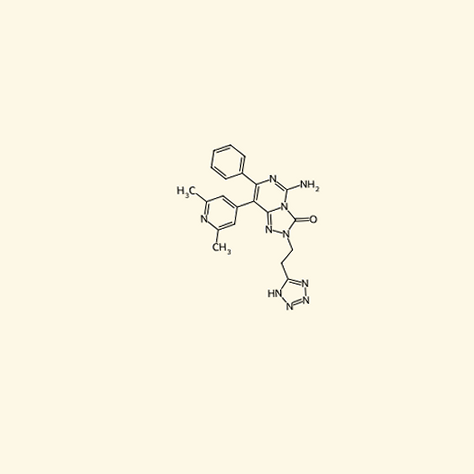 Cc1cc(-c2c(-c3ccccc3)nc(N)n3c(=O)n(CCc4nnn[nH]4)nc23)cc(C)n1